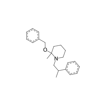 CC(CN1CCCCC1(C)OCc1ccccc1)c1ccccc1